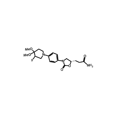 COC1(OC)CCN(c2ccc(N3C[C@H](CCC(N)=O)OC3=O)cc2)CC1F